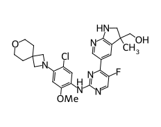 COc1cc(N2CC3(CCOCC3)C2)c(Cl)cc1Nc1ncc(F)c(-c2cnc3c(c2)C(C)(CO)CN3)n1